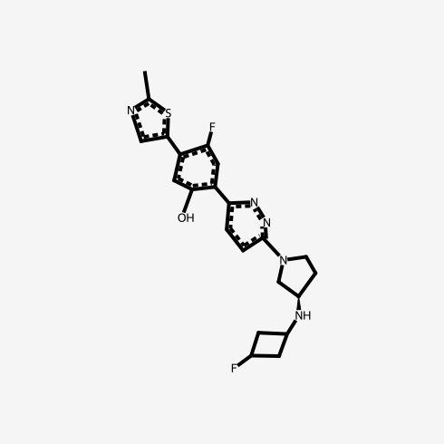 Cc1ncc(-c2cc(O)c(-c3ccc(N4CC[C@@H](NC5CC(F)C5)C4)nn3)cc2F)s1